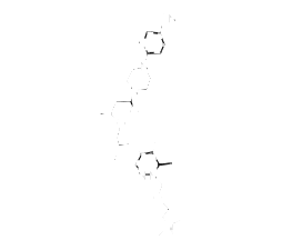 C[C@@H](CC(=O)N1CCN(c2ccc(C#N)cn2)CC1)OC[C@H](C)Oc1cnn(COCC[Si](C)(C)C)c(=O)c1C(F)(F)F